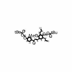 C=CCc1cc(C=CC(=O)c2ccc(OCOC(=O)C(C)(C)C)cc2)c(OC)c(CC=C)c1OCOC(=O)C(C)(C)C